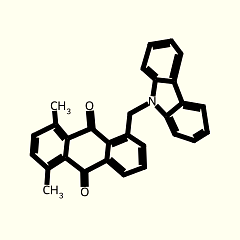 Cc1ccc(C)c2c1C(=O)c1cccc(Cn3c4ccccc4c4ccccc43)c1C2=O